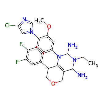 CCN1C(N)C2=C(C(c3ccc(F)c(F)c3)COC2)N(c2ccc(-n3cnc(Cl)c3)c(OC)c2)C1N